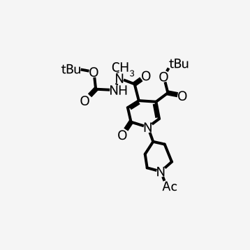 CC(=O)N1CCC(n2cc(C(=O)OC(C)(C)C)c(C(=O)N(C)NC(=O)OC(C)(C)C)cc2=O)CC1